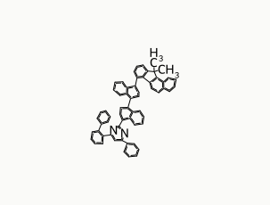 CC1(C)c2cccc(-c3ccc(-c4ccc(-c5nc(-c6ccccc6)cc(-c6ccccc6-c6ccccc6)n5)c5ccccc45)c4ccccc34)c2-c2ccc3ccccc3c21